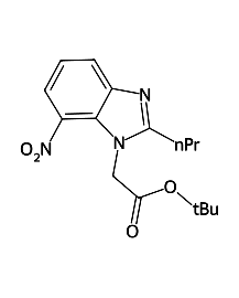 CCCc1nc2cccc([N+](=O)[O-])c2n1CC(=O)OC(C)(C)C